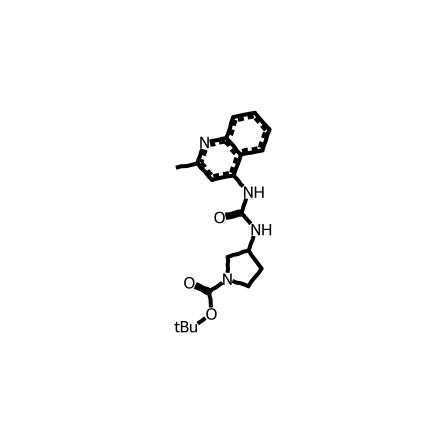 Cc1cc(NC(=O)NC2CCN(C(=O)OC(C)(C)C)C2)c2ccccc2n1